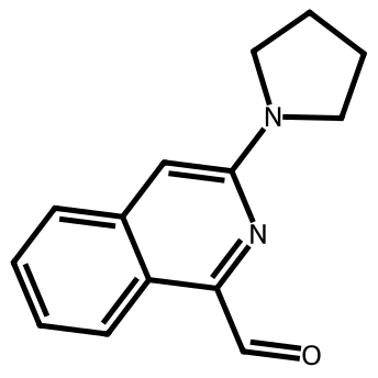 O=Cc1nc(N2CCCC2)cc2ccccc12